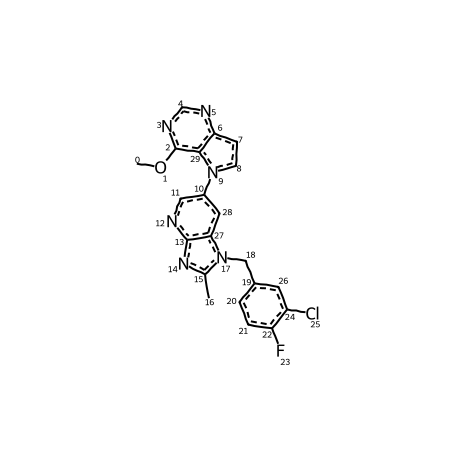 COc1ncnc2ccn(-c3cnc4nc(C)n(Cc5ccc(F)c(Cl)c5)c4c3)c12